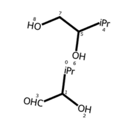 CC(C)C(O)C=O.CC(C)C(O)CO